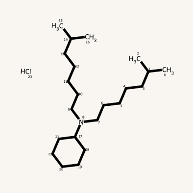 CC(C)CCCCCN(CCCCCC(C)C)C1CCCCC1.Cl